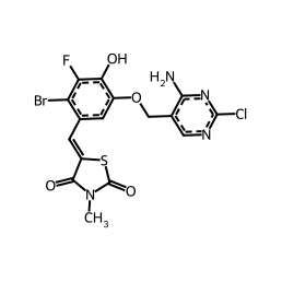 CN1C(=O)S/C(=C\c2cc(OCc3cnc(Cl)nc3N)c(O)c(F)c2Br)C1=O